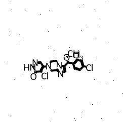 COC(c1ccc(Cl)cc1Cl)c1cnc2n1CCN(c1cn[nH]c(=O)c1Cl)C2